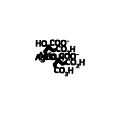 O=C(O)CC(O)(CC(=O)O)C(=O)[O-].O=C(O)CC(O)(CC(=O)O)C(=O)[O-].[Ag+].[Ag+]